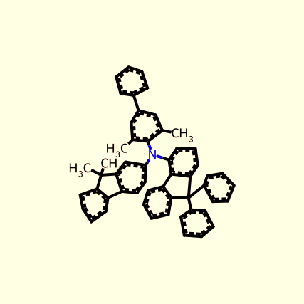 Cc1cc(-c2ccccc2)cc(C)c1N(c1ccc2c(c1)C(C)(C)c1ccccc1-2)c1cccc2c1-c1ccccc1C2(c1ccccc1)c1ccccc1